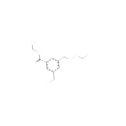 CCOOCc1cc(CBr)cc(C(=O)OCC)c1